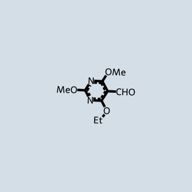 CCOc1nc(OC)nc(OC)c1C=O